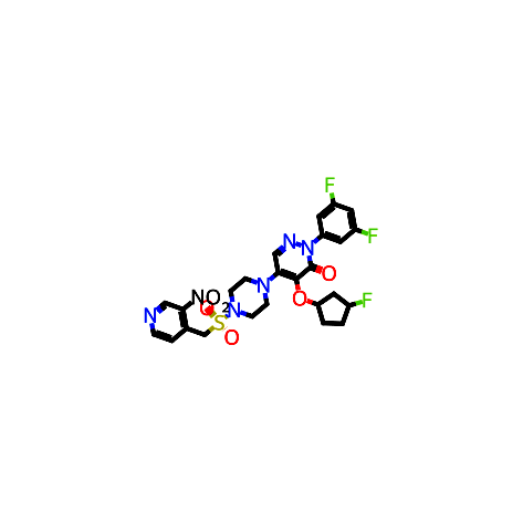 O=c1c(OC2CCC(F)C2)c(N2CCN(S(=O)(=O)Cc3ccncc3[N+](=O)[O-])CC2)cnn1-c1cc(F)cc(F)c1